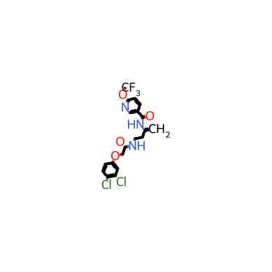 C=C(CCNC(=O)COc1ccc(Cl)c(Cl)c1)NC(=O)c1ccc(OC(F)(F)F)nc1